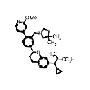 COc1cc(-c2ccc([C@@H]3CCc4ccc([C@H](C5CC5)[C@H](C)C(=O)O)cc4O3)cc2CN2CCC(C)(C)C2)ccn1